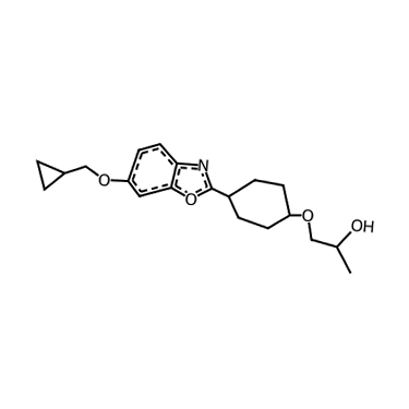 CC(O)COC1CCC(c2nc3ccc(OCC4CC4)cc3o2)CC1